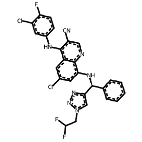 N#Cc1cnc2c(N[C@@H](c3ccccc3)c3cn(CC(F)F)nn3)cc(Cl)cc2c1Nc1ccc(F)c(Cl)c1